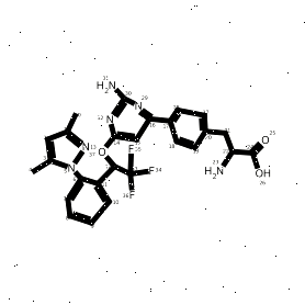 Cc1cc(C)n(-c2ccccc2C(Oc2cc(-c3ccc(CC(N)C(=O)O)cc3)nc(N)n2)C(F)(F)F)n1